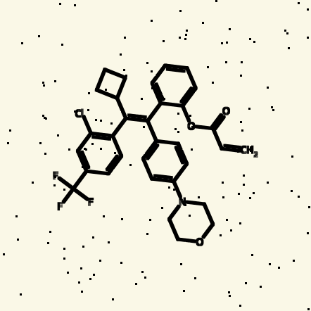 C=CC(=O)Oc1ccccc1/C(=C(/c1ccc(C(F)(F)F)cc1Cl)C1CCC1)c1ccc(N2CCOCC2)cc1